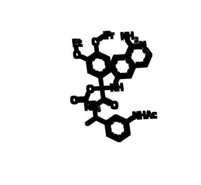 CCOc1cc(C(Nc2ccc3c(N)nccc3c2)(OC(=O)C(F)(F)F)C(=O)NC(C)c2cccc(NC(C)=O)c2)ccc1OC(C)C